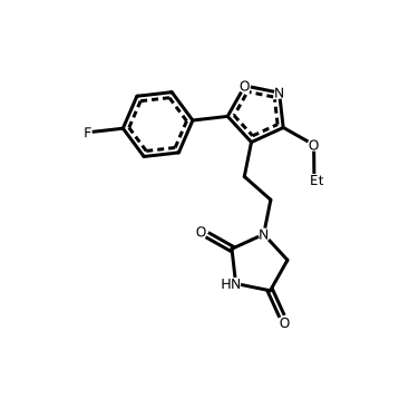 CCOc1noc(-c2ccc(F)cc2)c1CCN1CC(=O)NC1=O